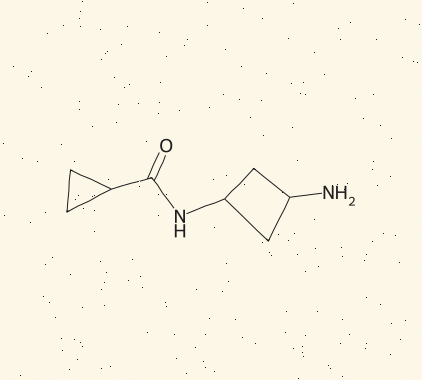 NC1CC(NC(=O)C2CC2)C1